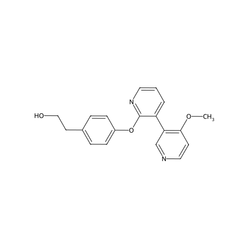 COc1ccncc1-c1cccnc1Oc1ccc(CCO)cc1